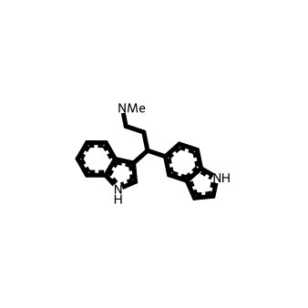 CNCCC(c1ccc2[nH]ccc2c1)c1c[nH]c2ccccc12